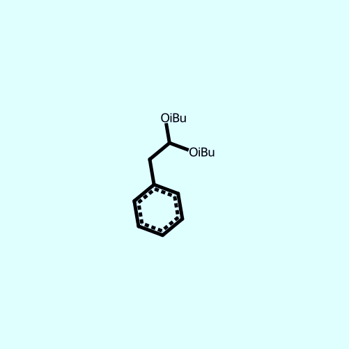 CC(C)COC(Cc1ccccc1)OCC(C)C